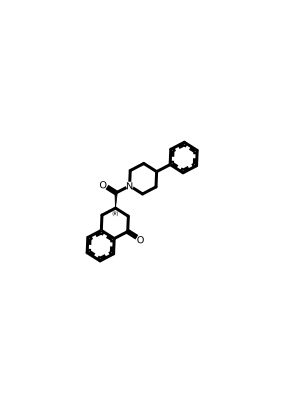 O=C1C[C@H](C(=O)N2CCC(c3ccccc3)CC2)Cc2ccccc21